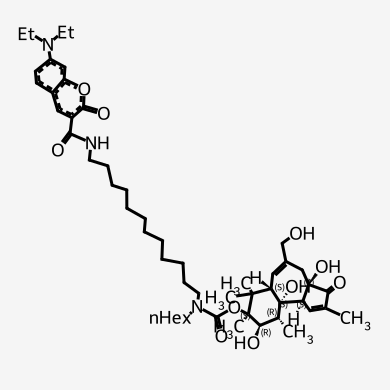 CCCCCCN(CCCCCCCCCCCCNC(=O)c1cc2ccc(N(CC)CC)cc2oc1=O)C(=O)O[C@]1(C)[C@H](O)[C@@H](C)[C@@]2(O)[C@@H](C=C(CO)C[C@]3(O)C(=O)C(C)=C[C@@H]23)C1(C)C